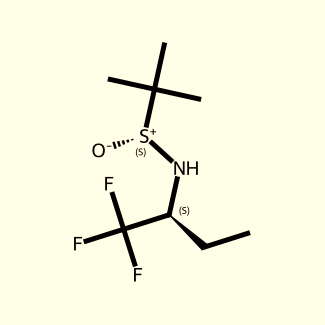 CC[C@H](N[S@+]([O-])C(C)(C)C)C(F)(F)F